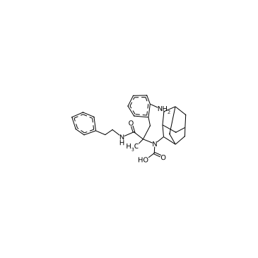 CC(Cc1ccccc1N)(C(=O)NCCc1ccccc1)N(C(=O)O)C1C2CC3CC(C2)CC1C3